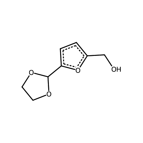 OCc1ccc(C2OCCO2)o1